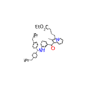 CCOC(=O)CCCc1c(C)c(C(=O)c2cccc(NC(c3ccc(CC(C)C)cc3)c3ccc(CC(C)C)cc3)c2)c2ccccn12